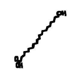 O=C(O)C=CC=CC=CC=CC=CC=CCCCCCCCCCO